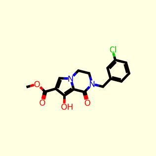 COC(=O)c1cn2c(c1O)C(=O)N(Cc1cccc(Cl)c1)CC2